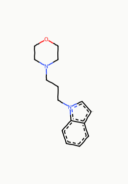 [c]1cn(CCCN2CCOCC2)c2ccccc12